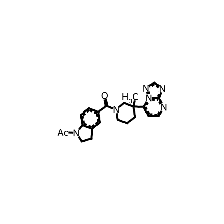 CC(=O)N1CCc2cc(C(=O)N3CCCC(C)(c4ccnc5ncnn45)C3)ccc21